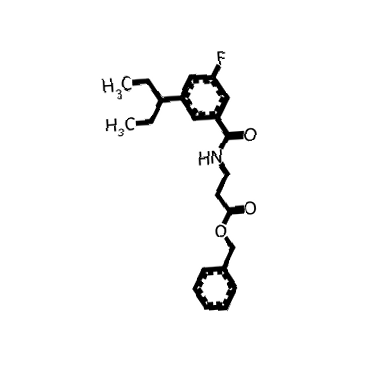 CCC(CC)c1cc(F)cc(C(=O)NCCC(=O)OCc2ccccc2)c1